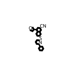 N#Cc1cc(-c2ccoc2)c2ccc(Sc3cccc(-c4ccccc4)n3)cc2c1